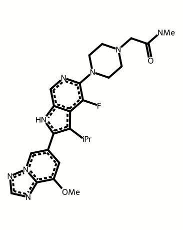 CNC(=O)CN1CCN(c2ncc3[nH]c(-c4cc(OC)c5ncnn5c4)c(C(C)C)c3c2F)CC1